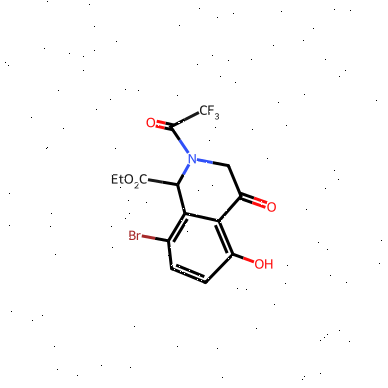 CCOC(=O)C1c2c(Br)ccc(O)c2C(=O)CN1C(=O)C(F)(F)F